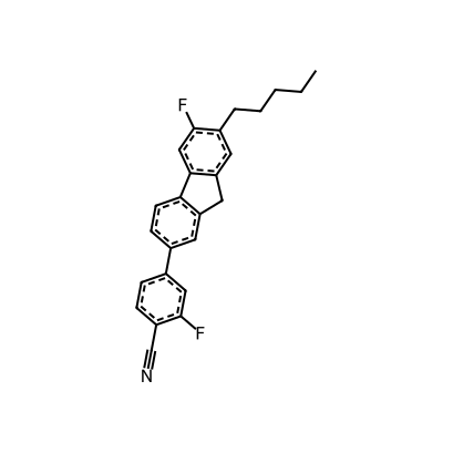 CCCCCc1cc2c(cc1F)-c1ccc(-c3ccc(C#N)c(F)c3)cc1C2